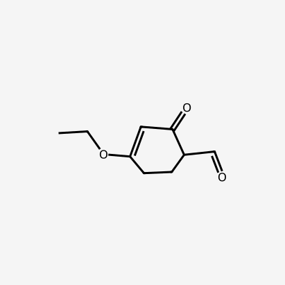 CCOC1=CC(=O)C(C=O)CC1